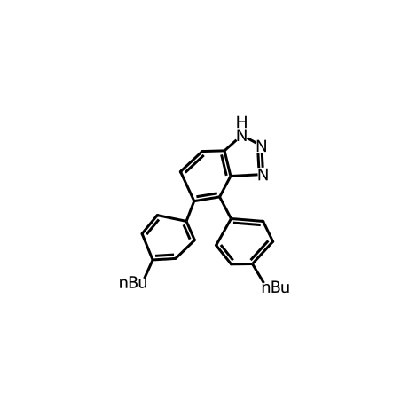 CCCCc1ccc(-c2ccc3[nH]nnc3c2-c2ccc(CCCC)cc2)cc1